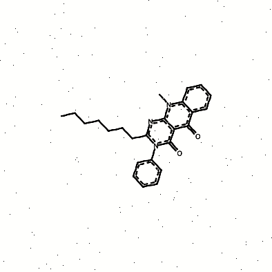 CCCCCCCc1nc2c(c(=O)c3ccccc3n2C)c(=O)n1-c1ccccc1